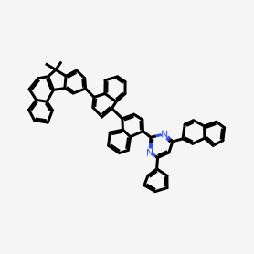 CC1(C)c2ccc(-c3ccc(-c4ccc(-c5nc(-c6ccccc6)cc(-c6ccc7ccccc7c6)n5)c5ccccc45)c4ccccc34)cc2-c2c1ccc1ccccc21